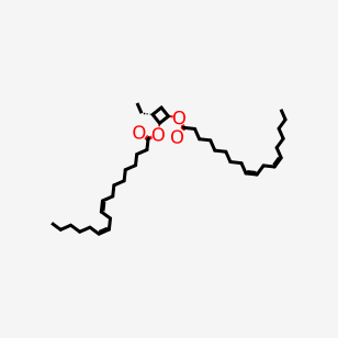 CCCCC/C=C\C/C=C\CCCCCCCC(=O)O[C@@H]1[C@H](CC)C[C@H]1OC(=O)CCCCCCC/C=C\C/C=C\CCCCC